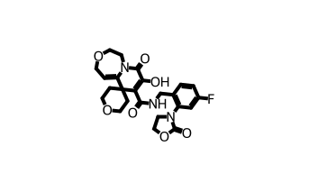 O=C(NCc1ccc(F)cc1N1CCOC1=O)C1=C(O)C(=O)N2CCOCC=C2C12CCOCC2